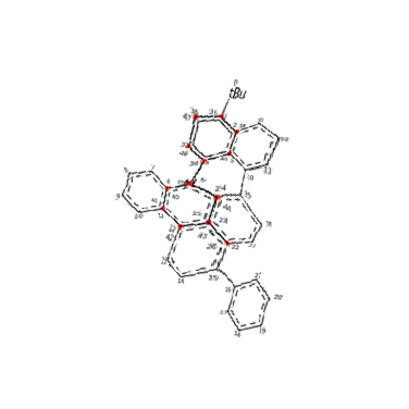 CC(C)(C)c1ccc(N(c2ccccc2-c2ccc(-c3ccccc3)cc2)c2ccccc2-c2cccc3cccc(-c4ccccc4)c23)cc1